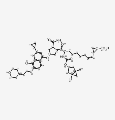 NC(=O)[C@@H]1C[C@@H](Oc2cc(C3CC3)nc3c(Cl)c(OCCN4CCOCC4)ccc23)CN1C(=O)[C@H](CCCCC/C=C\[C@@H]1C[C@@H]1C(=O)O)NC(=O)O[C@@H]1C[C@@H]2C[C@@H]2C1